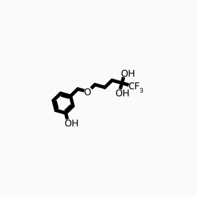 Oc1cccc(COCCCC(O)(O)C(F)(F)F)c1